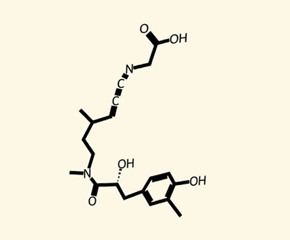 Cc1cc(C[C@@H](O)C(=O)N(C)CCC(C)C=C=C=NCC(=O)O)ccc1O